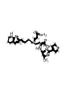 Cc1cc(N[C@@H](CCN(CCCCc2ccc3c(n2)NCCC3)CCC(N)=O)C(=O)O)nc(-c2ccncc2)n1